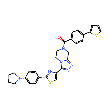 O=C(c1ccc(-c2cccs2)cc1)N1CCn2c(nnc2-c2csc(-c3ccc(N4CCCC4)cc3)n2)C1